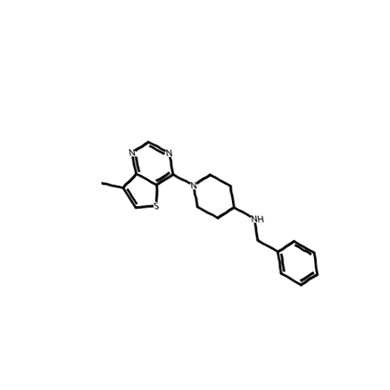 Cc1csc2c(N3CCC(NCc4ccccc4)CC3)ncnc12